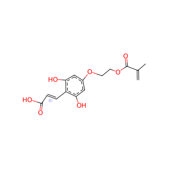 C=C(C)C(=O)OCCOc1cc(O)c(/C=C/C(=O)O)c(O)c1